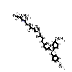 C=N/C(=C\C(=C)C(F)(F)F)CNC(=O)c1cn(CC(F)CCc2ccc(N(Cc3ccc(OC)cc3)Cc3ccc(OC)cc3)nn2)nn1